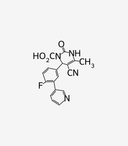 CC1=C(C#N)C(c2ccc(F)c(-c3cccnc3)c2)N(C(=O)O)C(=O)N1